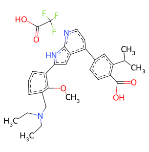 CCN(CC)Cc1cccc(-c2cc3c(-c4ccc(C(=O)O)c(C(C)C)c4)ccnc3[nH]2)c1OC.O=C(O)C(F)(F)F